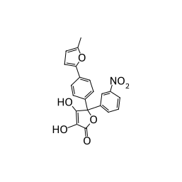 Cc1ccc(-c2ccc(C3(c4cccc([N+](=O)[O-])c4)OC(=O)C(O)=C3O)cc2)o1